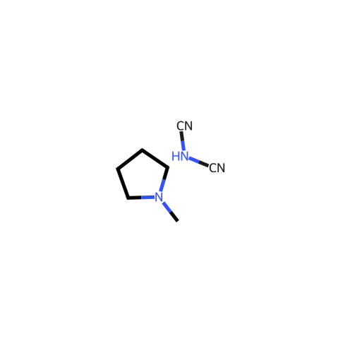 CN1CCCC1.N#CNC#N